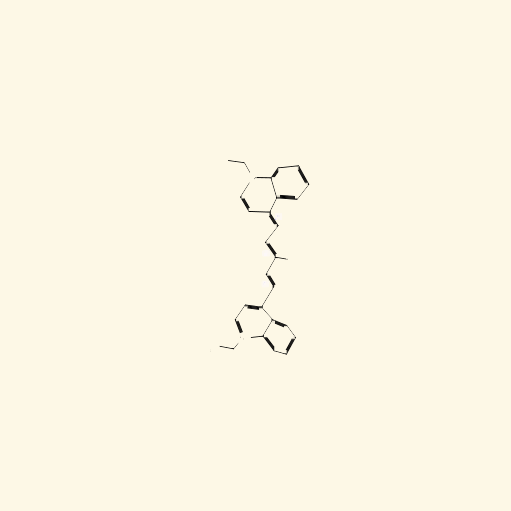 CCN1C=C\C(=C/C=C(Cl)/C=C/c2cc[n+](CC)c3ccccc23)c2ccccc21